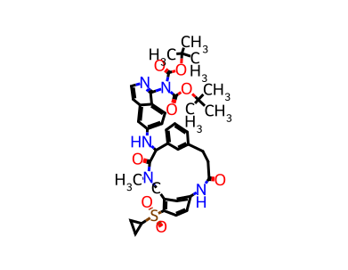 CN1Cc2cc(ccc2S(=O)(=O)C2CC2)NC(=O)CCc2cccc(c2)C(Nc2ccc3c(N(C(=O)OC(C)(C)C)C(=O)OC(C)(C)C)nccc3c2)C1=O